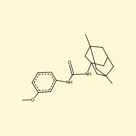 COc1cccc(NC(=O)NC23CC4CC(C)(CC(C)(C4)C2)C3)c1